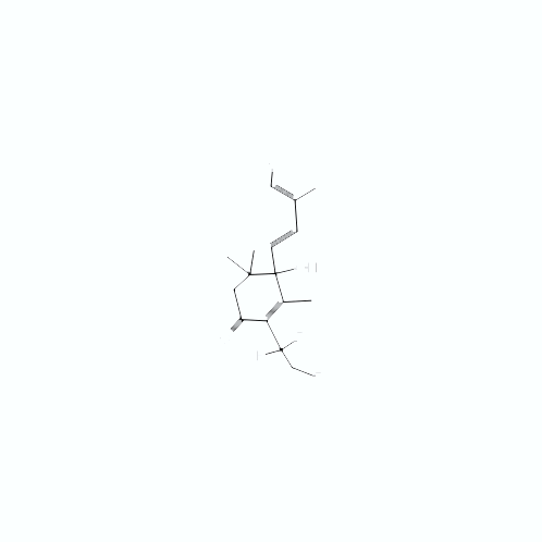 CC(C=CC1(O)C(C)=C(C(F)(F)CF)C(=O)CC1(C)C)=CC=O